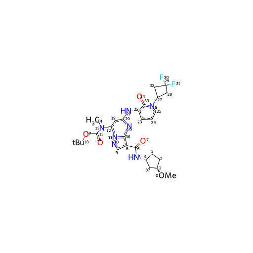 CO[C@@H]1CC[C@@H](NC(=O)c2cnn3c(N(C)C(=O)OC(C)(C)C)cc(Nc4cccn(C5CC(F)(F)C5)c4=O)nc23)C1